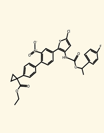 CCOC(=O)C1(c2ccc(-c3ccc(-c4sc(Cl)cc4NC(=O)OC(C)c4ccc(F)cc4)cc3[N+](=O)[O-])cc2)CC1